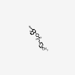 CN1CCN(CCNC(=O)C2CCN(c3ccc(C#N)c4ncccc34)CC2)CC1